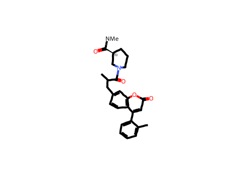 CNC(=O)[C@H]1CCCN(C(=O)C(C)Cc2ccc3c(-c4ccccc4C)cc(=O)oc3c2)C1